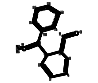 O=S=C1C=CC=CC1C(=O)c1ccccc1.[Na]